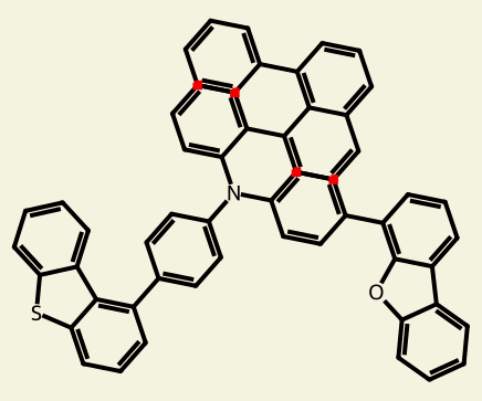 c1ccc(-c2cccc3cccc(-c4ccccc4N(c4ccc(-c5cccc6c5oc5ccccc56)cc4)c4ccc(-c5cccc6sc7ccccc7c56)cc4)c23)cc1